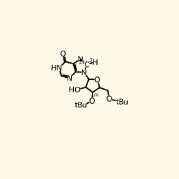 [2H][13c]1nc2c(=O)[nH]cnc2n1C1OC(COC(C)(C)C)[C@@H](OC(C)(C)C)C1O